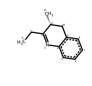 CCC1=Nc2ccccc2C[C@H]1C